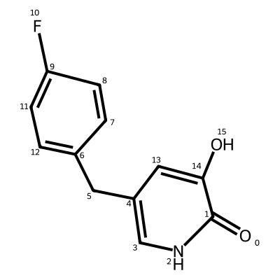 O=c1[nH]cc(Cc2ccc(F)cc2)cc1O